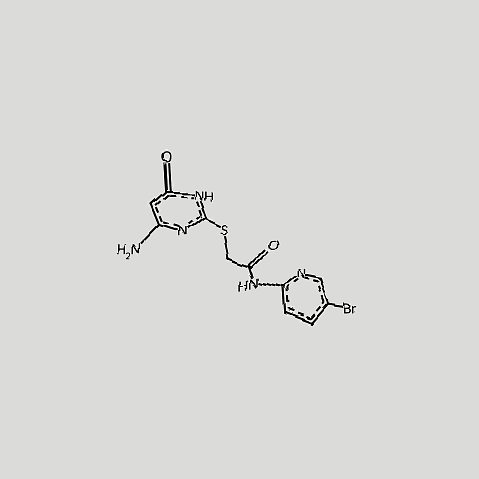 Nc1cc(=O)[nH]c(SCC(=O)Nc2ccc(Br)cn2)n1